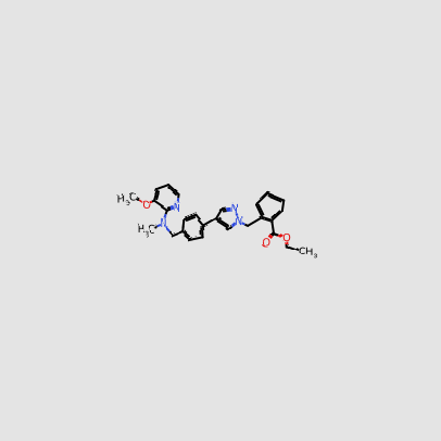 CCOC(=O)c1ccccc1Cn1cc(-c2ccc(CN(C)c3ncccc3OC)cc2)cn1